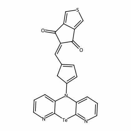 O=C1C(=CC2=CC=C(N3c4cccnc4[Te]c4ncccc43)C2)C(=O)c2cscc21